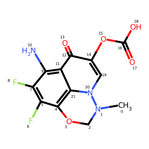 CN1COc2c(F)c(F)c(N)c3c(=O)c(OC(=O)O)cn1c23